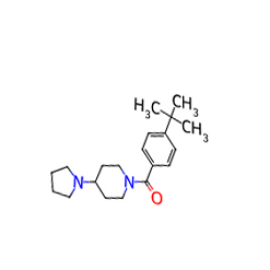 CC(C)(C)c1ccc(C(=O)N2CCC(N3CCCC3)CC2)cc1